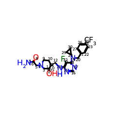 C[C@]1(O)CN(CC(N)=O)CC[C@H]1CNc1ncnc(N(Cc2ccc(C(F)(F)F)cc2)C2CC2)c1F